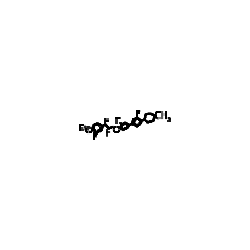 CCOc1ccc(C(F)C(F)COc2ccc(-c3ccc(C4CCC(C)CC4)c(F)c3)cc2F)cc1F